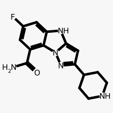 NC(=O)c1cc(F)cc2[nH]c3cc(C4CCNCC4)nn3c12